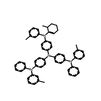 Cc1cccc(N(C2=CCCCC2C)c2ccc(N(c3ccc(N(c4ccccc4)c4cccc(C)c4)cc3)c3ccc(N(c4ccccc4)c4cccc(C)c4)cc3)cc2)c1